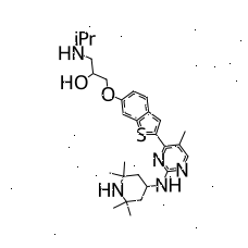 Cc1cnc(NC2CC(C)(C)NC(C)(C)C2)nc1-c1cc2ccc(OCC(O)CNC(C)C)cc2s1